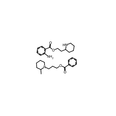 CC1CCCCN1CCCOC(=O)c1ccccc1.Nc1ccccc1C(=O)OCCC1CCCCN1